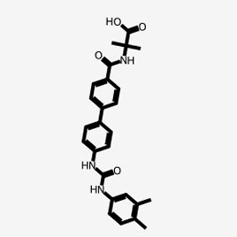 Cc1ccc(NC(=O)Nc2ccc(-c3ccc(C(=O)NC(C)(C)C(=O)O)cc3)cc2)cc1C